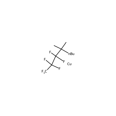 CCCCC(C)(C)C(F)(F)C(F)(F)C(F)(F)F.[Cu]